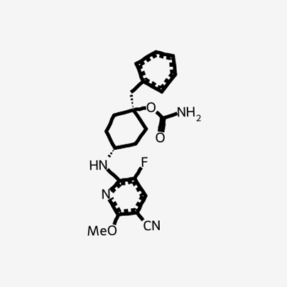 COc1nc(N[C@H]2CC[C@](Cc3ccccc3)(OC(N)=O)CC2)c(F)cc1C#N